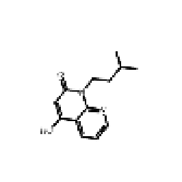 CC(C)CCn1c(=O)cc(O)c2cccnc21